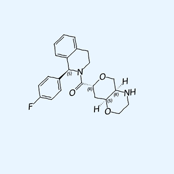 O=C([C@H]1C[C@@H]2OCCN[C@@H]2CO1)N1CCc2ccccc2[C@@H]1c1ccc(F)cc1